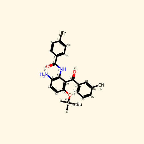 CC(C)c1ccc(C(=O)Nc2c(N)ccc(O[Si](C)(C)C(C)(C)C)c2C(=O)c2cccc(C#N)c2)cc1